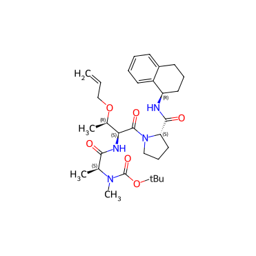 C=CCO[C@H](C)[C@H](NC(=O)[C@H](C)N(C)C(=O)OC(C)(C)C)C(=O)N1CCC[C@H]1C(=O)N[C@@H]1CCCc2ccccc21